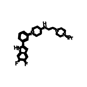 CC(C)N1CCN(CCNC2CCN(c3cccc(-c4cc5cc(F)c(F)cc5[nH]4)c3)CC2)CC1